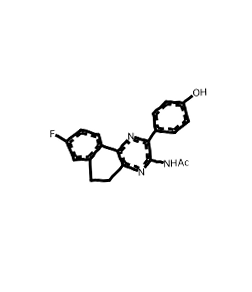 CC(=O)Nc1nc2c(nc1-c1ccc(O)cc1)-c1ccc(F)cc1CC2